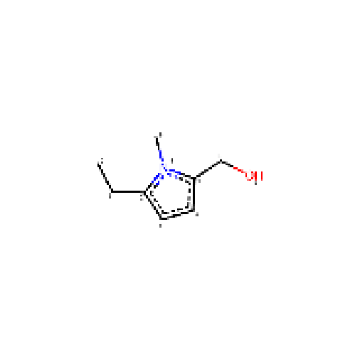 CCc1ccc(CO)n1C